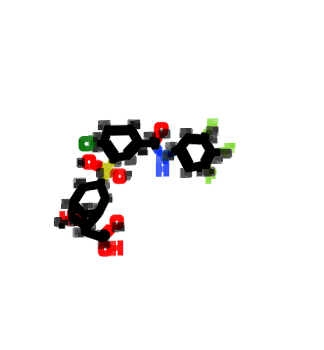 C[C@H]1CC2CC(S(=O)(=O)c3cc(C(=O)Nc4cc(F)c(F)c(F)c4)ccc3Cl)CC1[C@@]2(O)CC(=O)O